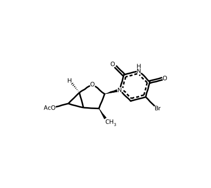 CC(=O)OC1C2[C@@H]1O[C@@H](n1cc(Br)c(=O)[nH]c1=O)[C@H]2C